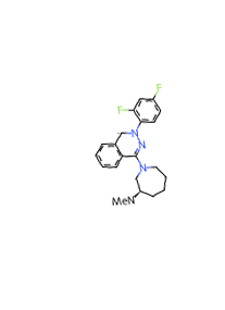 CN[C@@H]1CCCCN(C2=NN(c3ccc(F)cc3F)[CH]c3ccccc32)C1